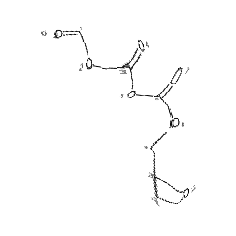 O=COC(=O)OC(=O)OCC1CO1